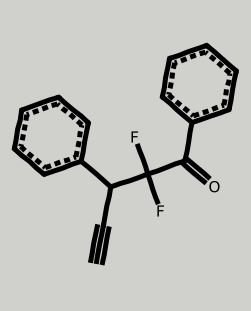 C#CC(c1ccccc1)C(F)(F)C(=O)c1ccccc1